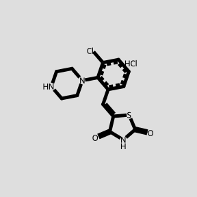 Cl.O=C1NC(=O)C(=Cc2cccc(Cl)c2N2CCNCC2)S1